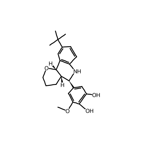 COc1cc([C@@H]2Nc3ccc(C(C)(C)C)cc3[C@H]3OCCC[C@H]32)cc(O)c1O